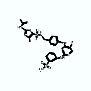 CC(=O)Nc1nc(C)c(S(=O)(=O)NCc2ccc(Nc3nc(Nc4cccc(S(N)(=O)=O)c4)ncc3F)cc2)s1